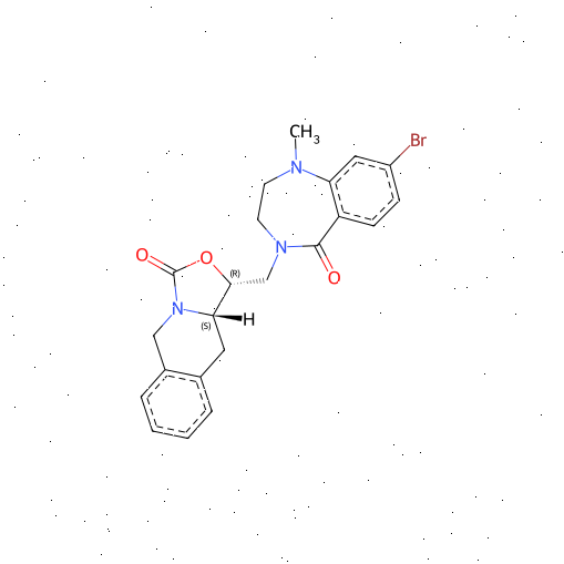 CN1CCN(C[C@H]2OC(=O)N3Cc4ccccc4C[C@@H]23)C(=O)c2ccc(Br)cc21